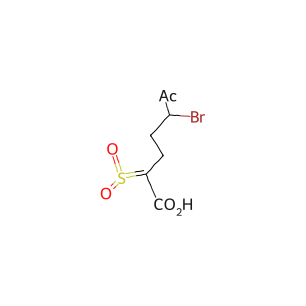 CC(=O)C(Br)CCC(C(=O)O)=S(=O)=O